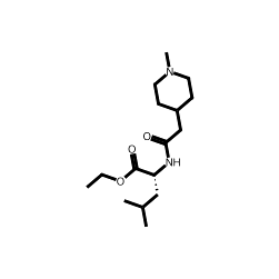 CCOC(=O)[C@@H](CC(C)C)NC(=O)CC1CCN(C)CC1